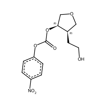 O=C(Oc1ccc([N+](=O)[O-])cc1)O[C@H]1COC[C@H]1CCO